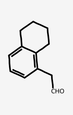 O=CCc1cccc2c1CCCC2